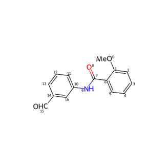 COc1ccccc1C(=O)Nc1cccc(C=O)c1